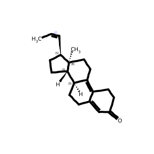 C/C=C\[C@@H]1CC[C@H]2[C@@H]3CCC4=CC(=O)CCC4=C3CC[C@]12C